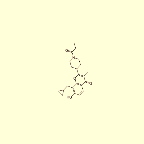 CCC(=O)N1CCC(c2oc3c(CC4CC4)c(O)ccc3c(=O)c2C)CC1